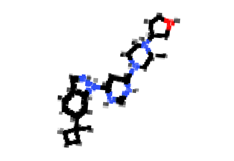 C[C@H]1CN(c2cc(-n3ncc4ccc(C5(C)CCC5)cc43)ncn2)CCN1C1CCOC1